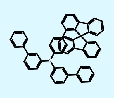 c1ccc(-c2cccc(N(c3ccc(-c4cccc5c4C4(c6ccccc6-c6ccccc64)c4ccccc4-5)cc3)c3cccc(-c4ccccc4)c3)c2)cc1